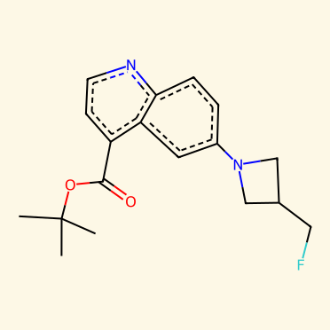 CC(C)(C)OC(=O)c1ccnc2ccc(N3CC(CF)C3)cc12